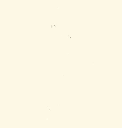 CC(C)(C(=O)OC[C@@H]1O[C@H](n2cc(F)c(=O)[nH]c2=O)CC1O)c1ccccc1[N+](=O)[O-]